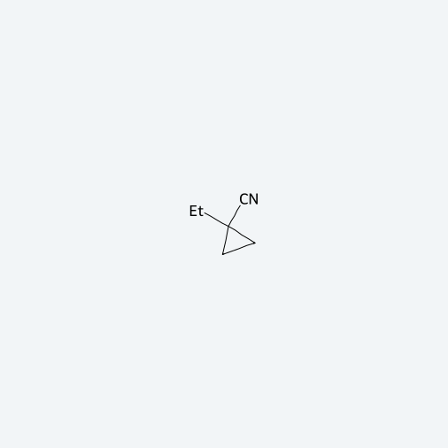 [CH2]CC1(C#N)CC1